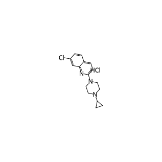 Cl.Clc1ccc2ccc(N3CCN(C4CC4)CC3)nc2c1